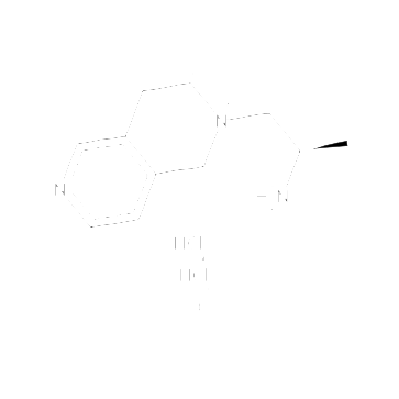 C[C@@H](N)CN1CCc2cnccc2C1.Cl.Cl.Cl